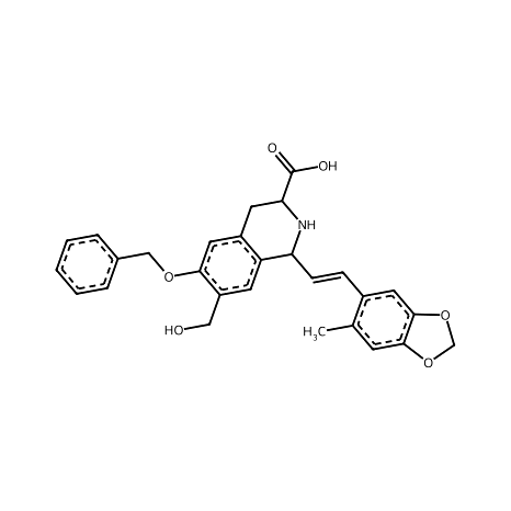 Cc1cc2c(cc1/C=C/C1NC(C(=O)O)Cc3cc(OCc4ccccc4)c(CO)cc31)OCO2